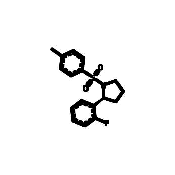 Cc1ccc(S(=O)(=O)N2CCC[C@H]2c2ccccc2F)cc1